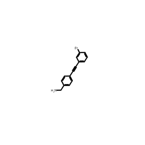 CCc1c[c]cc(C#Cc2ccc(CN)cc2)c1